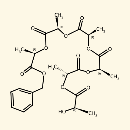 C[C@@H](O)C(=O)O[C@H](C)C(=O)O[C@H](C)C(=O)O[C@H](C)C(=O)O[C@H](C)C(=O)O[C@H](C)C(=O)OCc1ccccc1